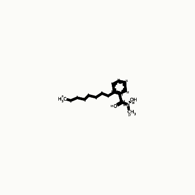 CCCCCCCCc1ccccc1C(=O)N(C)O